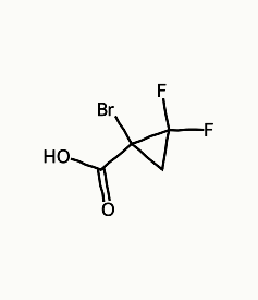 O=C(O)C1(Br)CC1(F)F